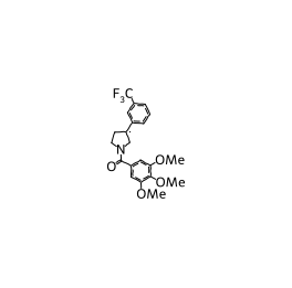 COc1cc(C(=O)N2CC[C](c3cccc(C(F)(F)F)c3)C2)cc(OC)c1OC